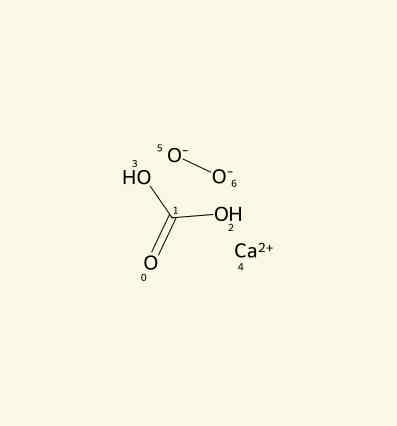 O=C(O)O.[Ca+2].[O-][O-]